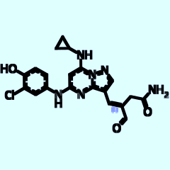 NC(=O)C/C(C=O)=C\c1cnn2c(NC3CC3)cc(Nc3ccc(O)c(Cl)c3)nc12